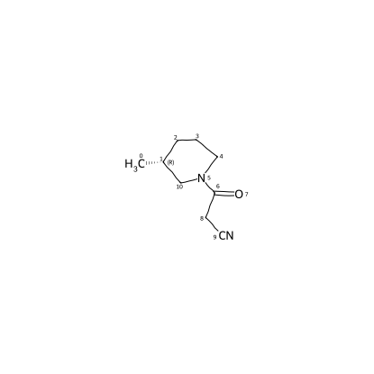 C[C@@H]1CCCN(C(=O)CC#N)C1